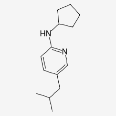 CC(C)Cc1ccc(NC2CCCC2)nc1